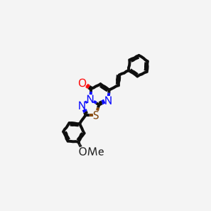 COc1cccc(-c2nn3c(=O)cc(/C=C/c4ccccc4)nc3s2)c1